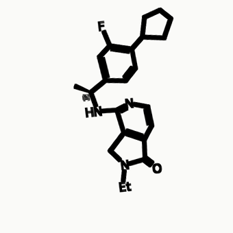 CCN1Cc2c(ccnc2N[C@@H](C)c2ccc(C3CCCC3)c(F)c2)C1=O